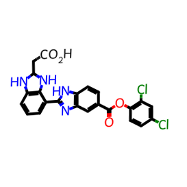 O=C(O)CC1Nc2cccc(-c3nc4cc(C(=O)Oc5ccc(Cl)cc5Cl)ccc4[nH]3)c2N1